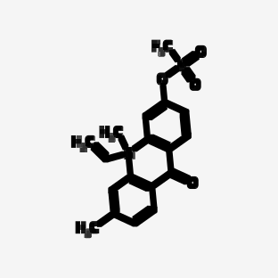 C=C[Si]1(C)c2cc(C)ccc2C(=O)c2ccc(OS(=O)(=O)C(F)(F)F)cc21